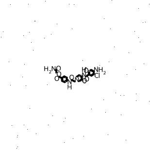 COc1cc(N)c(Cl)cc1C(=O)N[C@@H]1CCN(CC(=O)Nc2ccc(C(=O)OCC(N)=O)cc2)C[C@@H]1OC